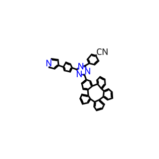 N#Cc1ccc(-c2nc(-c3ccc(-c4ccncc4)cc3)nc(-c3ccc4c5ccccc5c5ccccc5c5ccccc5c5ccccc5c4c3)n2)cc1